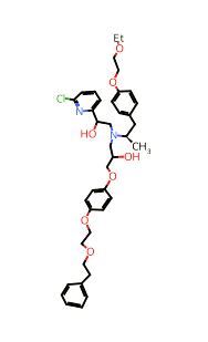 CCOCCOc1ccc(C[C@@H](C)N(CC(O)COc2ccc(OCCOCCc3ccccc3)cc2)CC(O)c2cccc(Cl)n2)cc1